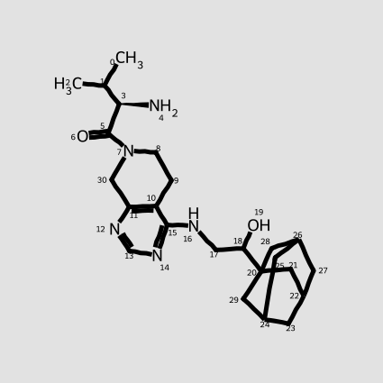 CC(C)[C@@H](N)C(=O)N1CCc2c(ncnc2NCC(O)C23CC4CC(CC(C4)C2)C3)C1